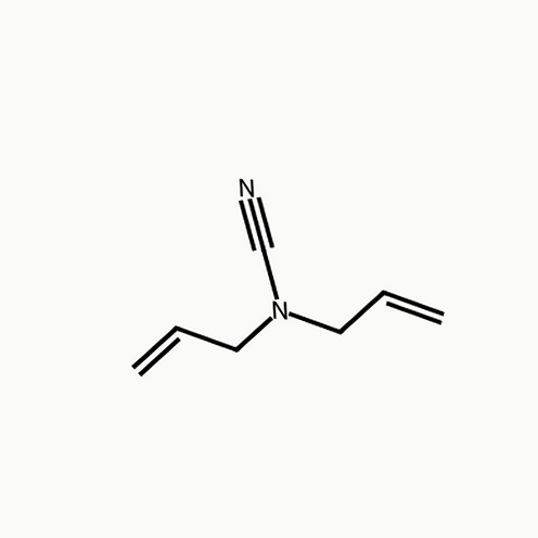 C=CCN(C#N)CC=C